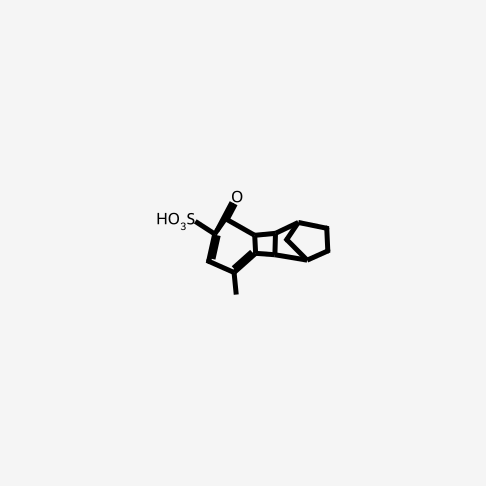 CC1=C2C(C(=O)C(S(=O)(=O)O)=C1)C1C3CCC(C3)C21